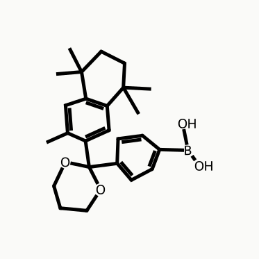 Cc1cc2c(cc1C1(c3ccc(B(O)O)cc3)OCCCO1)C(C)(C)CCC2(C)C